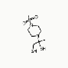 CC(S)(CS)N1CCN(S(C)(=O)=O)CC1